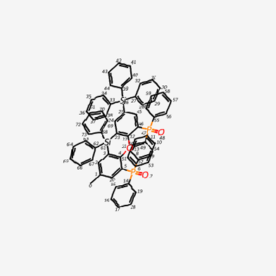 Cc1cc2c(c(P(=O)(c3ccccc3)c3ccccc3)c1)Oc1c(cc([Si](c3ccccc3)(c3ccccc3)c3ccccc3)cc1P(=O)(c1ccccc1)c1ccccc1)[Si]2(c1ccccc1)c1ccccc1